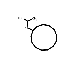 CC(C)BC1CCCCCCCCCCCC1